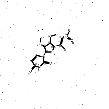 COC1C(OC)[C@H](n2ccc(=O)[nH]c2=O)O[C@@H]1/C(C)=C/[PH](C)=O